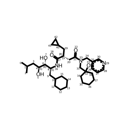 CC(C)C[C@H](O)[C@H](O)[C@H](CC1CCCCC1)NC(=O)[C@@H](CC(=O)N(Cc1cccnc1)CC1(O)CCCCC1)CC1CC1